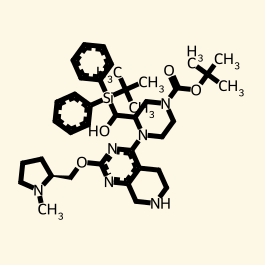 CN1CCC[C@H]1COc1nc2c(c(N3CCN(C(=O)OC(C)(C)C)CC3C(O)[Si](c3ccccc3)(c3ccccc3)C(C)(C)C)n1)CCNC2